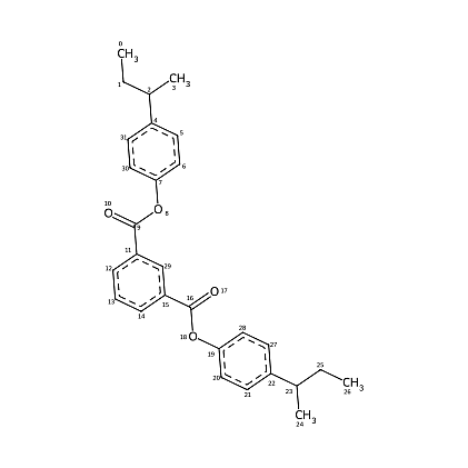 CCC(C)c1ccc(OC(=O)c2cccc(C(=O)Oc3ccc(C(C)CC)cc3)c2)cc1